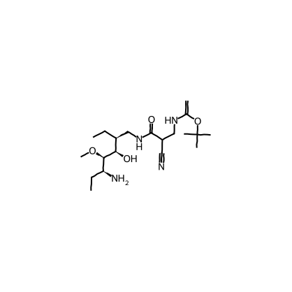 C=C(NCC(C#N)C(=O)NC[C@H](CC)[C@@H](O)[C@H](OC)[C@@H](N)CC)OC(C)(C)C